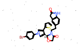 O=C1Cc2cc(CCN3C(=O)CO[C@H]3c3cn(-c4ccc(Br)cc4)cc3-c3cccs3)ccc2N1